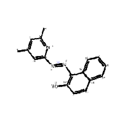 Cc1cc(C)nc(/N=N/c2c(O)ccc3ccccc23)c1